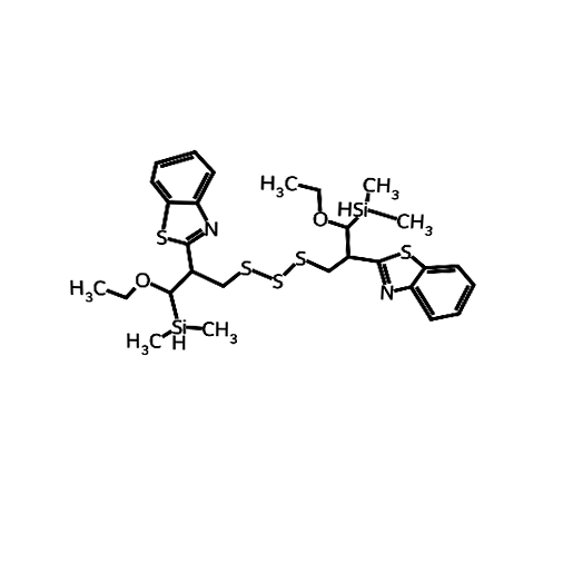 CCOC(C(CSSSCC(c1nc2ccccc2s1)C(OCC)[SiH](C)C)c1nc2ccccc2s1)[SiH](C)C